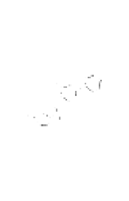 Cc1ccccc1-c1cc(Cl)nc(NS(=O)(=O)c2cnn(C)c2)n1